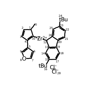 CC1C=CC(c2ccoc2)=[C]1[Zr+2][CH]1c2cc(C(C)(C)C)ccc2-c2ccc(C(C)(C)C)cc21.[Cl-].[Cl-]